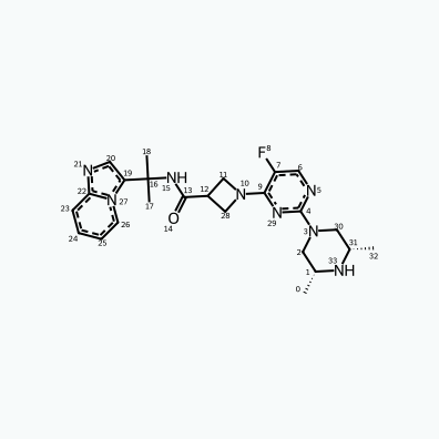 C[C@@H]1CN(c2ncc(F)c(N3CC(C(=O)NC(C)(C)c4cnc5ccccn45)C3)n2)C[C@H](C)N1